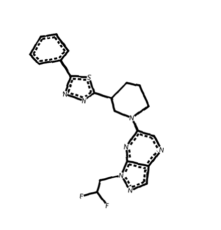 FC(F)Cn1ncc2ncc(N3CCCC(c4nnc(-c5ccccc5)s4)C3)nc21